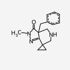 CN1N=C2C3(CC3)CNCC2(Cc2ccccc2)C1=O